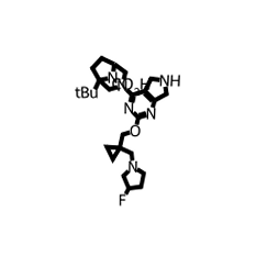 CC(C)(C)C12CCC(CN(c3nc(OCC4(CN5CCC(F)C5)CC4)nc4c3CNC4)C1)N2C(=O)O